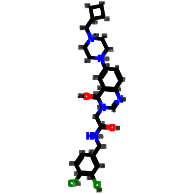 O=C(Cn1cnc2ccc(N3CCN(CC4CCC4)CC3)cc2c1=O)NCc1ccc(Cl)c(Cl)c1